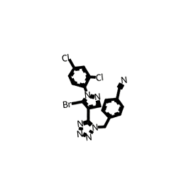 N#Cc1ccc(Cn2nnnc2-c2cnn(-c3ccc(Cl)cc3Cl)c2Br)cc1